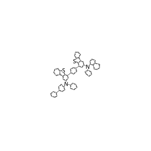 c1ccc(-c2ccc(N(c3ccccc3)c3cc(-c4ccc(-c5cc(N(c6ccccc6)c6cccc7ccccc67)cc6c5sc5ccccc56)cc4)c4sc5ccccc5c4c3)cc2)cc1